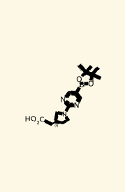 CC1(C)OB(c2cnc(N3CC[C@@H](CC(=O)O)C3)nc2)OC1(C)C